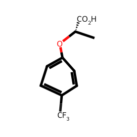 C[C@H](Oc1ccc(C(F)(F)F)cc1)C(=O)O